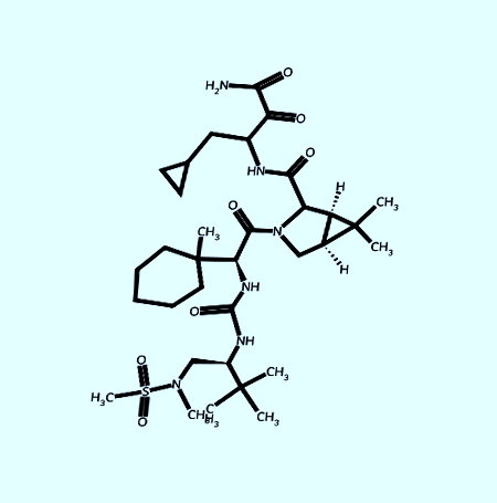 CN(C[C@@H](NC(=O)N[C@H](C(=O)N1C[C@H]2[C@@H](C1C(=O)NC(CC1CC1)C(=O)C(N)=O)C2(C)C)C1(C)CCCCC1)C(C)(C)C)S(C)(=O)=O